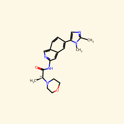 Cc1ncc(-c2ccc3cnc(NC(=O)[C@H](C)N4CCOCC4)cc3c2)n1C